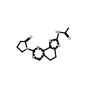 CC(=O)Nc1nc2c(s1)-c1nc(N3CCCC3=O)ncc1CC2